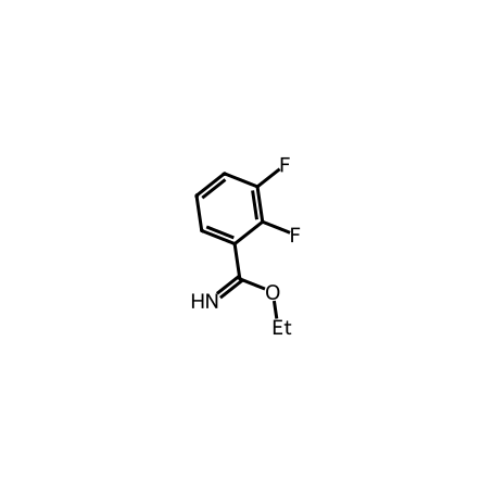 CCOC(=N)c1cccc(F)c1F